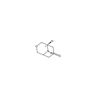 CC(C)N1C2COC[C@@H]1CC(=O)C2